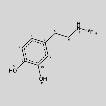 Oc1ccc(CCN[18F])cc1O